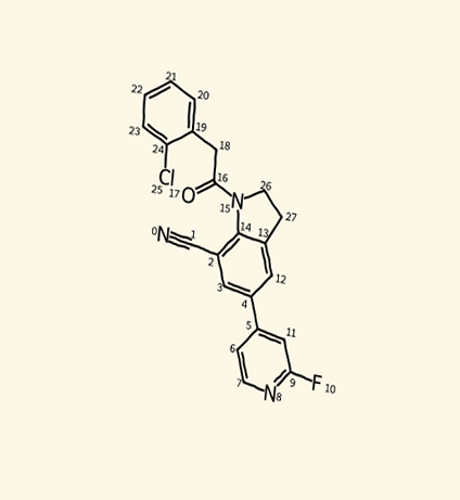 N#Cc1cc(-c2ccnc(F)c2)cc2c1N(C(=O)Cc1ccccc1Cl)CC2